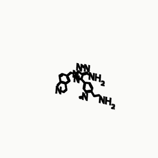 C=Nc1cc(-c2nn(Cc3ccc4c(c3)CCN(C)C4)c3ncnc(N)c23)ccc1CCN